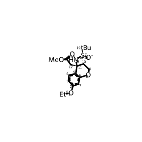 CCOc1ccc2c(c1)OCC[C@@]2(CC(=O)OC)N[S@+]([O-])C(C)(C)C